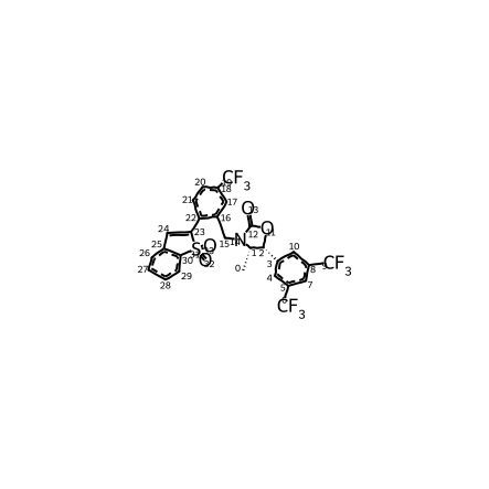 C[C@H]1[C@@H](c2cc(C(F)(F)F)cc(C(F)(F)F)c2)OC(=O)N1Cc1cc(C(F)(F)F)ccc1C1=Cc2ccccc2S1(=O)=O